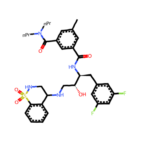 CCCN(CCC)C(=O)c1cc(C)cc(C(=O)N[C@@H](Cc2cc(F)cc(F)c2)[C@H](O)CNC2CNS(=O)(=O)c3ccccc32)c1